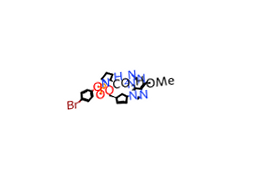 COc1nc(N)nc2c1ncn2[C@H]1C=C[C@@H](COP(=O)(Oc2ccc(Br)cc2)N2CCC[C@H]2C(=O)O)C1